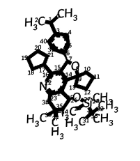 CC(C)c1ccc([C@H]2OC3(CCCC3)c3c2c(C2CCCC2)nc2c3[C@@H](O[Si](C)(C)C(C)(C)C)CC(C)(C)C2)cc1